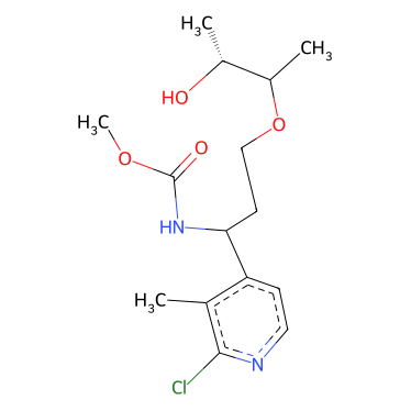 COC(=O)NC(CCOC(C)[C@@H](C)O)c1ccnc(Cl)c1C